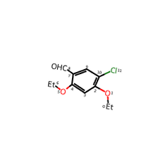 CCOc1cc(OCC)c(C=O)cc1Cl